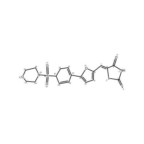 O=C1NC(=S)S/C1=C\c1ccc(C2=CCC(S(=O)(=O)N3CCOCC3)C=C2)o1